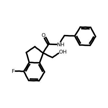 O=C(NCc1ccccc1)C1(CO)CCc2c(F)cccc21